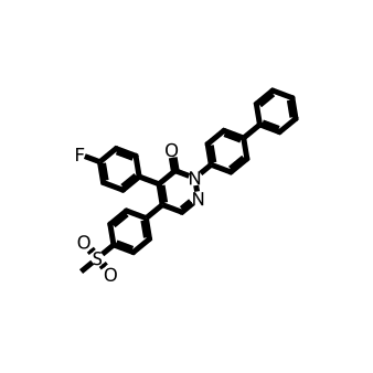 CS(=O)(=O)c1ccc(-c2cnn(-c3ccc(-c4ccccc4)cc3)c(=O)c2-c2ccc(F)cc2)cc1